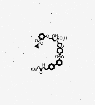 CC(C)(C)OC(=O)NCc1ccc(-c2cccc(S(=O)(=O)N3CCC4(CC3)C[C@@H](N(C[C@H](O)COc3cccc(S(=O)(=O)C5CC5)c3)C(=O)O)CO4)c2)cc1